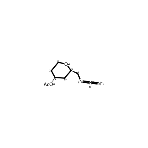 CC(=O)O[C@@H]1CCO[C@@H](CN=[N+]=[N-])C1